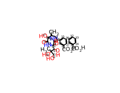 C=C1CCO[C@]2(C(O)C(C)(O)CO)NC(=O)[C@@]1(O)NC2=O.O=C(O)c1ccccc1.O=C(O)c1ccccc1